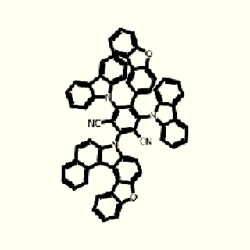 N#Cc1c(-n2c3ccccc3c3ccccc32)c(-c2ccc3oc4ccccc4c3c2)c(-n2c3ccccc3c3ccccc32)c(C#N)c1-n1c2ccc3ccccc3c2c2c3c(ccc21)oc1ccccc13